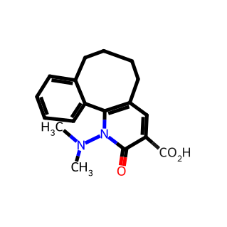 CN(C)n1c2c(cc(C(=O)O)c1=O)CCCCc1ccccc1-2